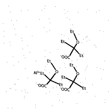 CCOC(CC)(CC)C(=O)[O-].CCOC(CC)(CC)C(=O)[O-].CCOC(CC)(CC)C(=O)[O-].[Al+3]